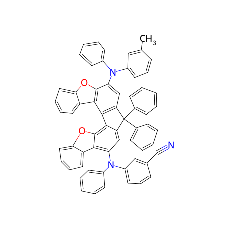 Cc1cccc(N(c2ccccc2)c2cc3c(c4c2oc2ccccc24)-c2c(cc(N(c4ccccc4)c4cccc(C#N)c4)c4c2oc2ccccc24)C3(c2ccccc2)c2ccccc2)c1